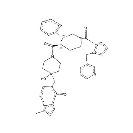 Cn1ccc2c(=O)n(CC3(O)CCN(C(=O)[C@@H]4CCN(C(=O)c5cccn5Cc5cccnc5)C[C@H]4c4ccccc4)CC3)cnc21